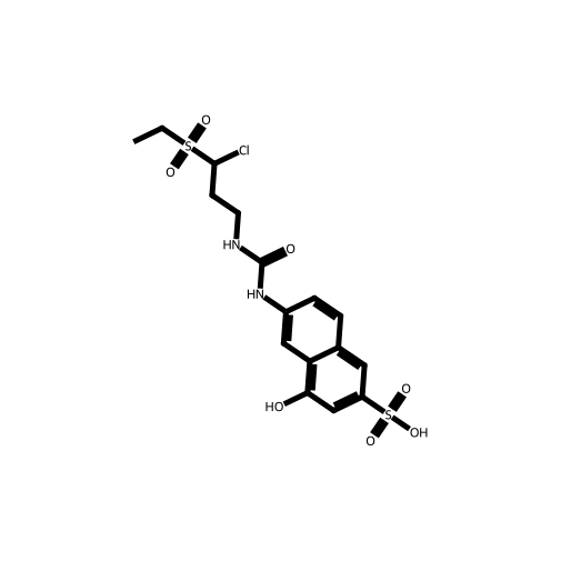 CCS(=O)(=O)C(Cl)CCNC(=O)Nc1ccc2cc(S(=O)(=O)O)cc(O)c2c1